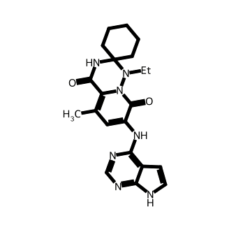 CCN1n2c(c(C)cc(Nc3ncnc4[nH]ccc34)c2=O)C(=O)NC12CCCCC2